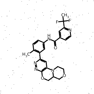 Cc1ccc(NC(=O)c2ccnc(C(C)(F)F)c2)cc1-c1cc2c(nn1)OCC1COCCN21